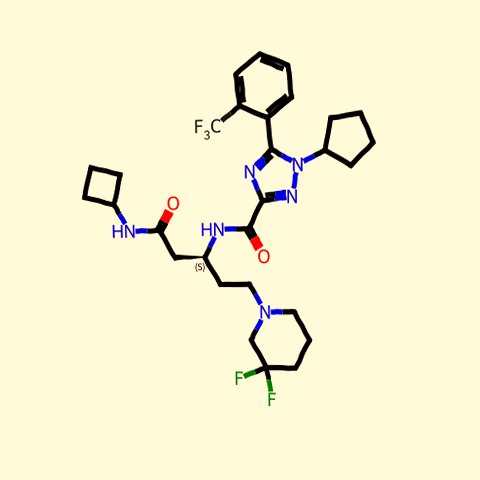 O=C(C[C@H](CCN1CCCC(F)(F)C1)NC(=O)c1nc(-c2ccccc2C(F)(F)F)n(C2CCCC2)n1)NC1CCC1